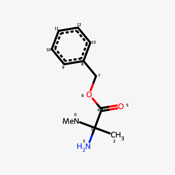 CNC(C)(N)C(=O)OCc1ccccc1